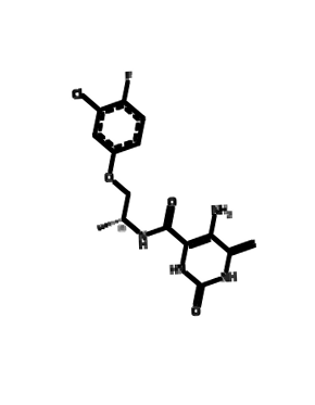 C=C1NC(=O)NC(C(=O)N[C@H](C)COc2ccc(F)c(Cl)c2)=C1N